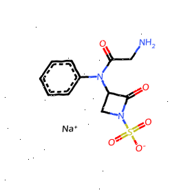 NCC(=O)N(c1ccccc1)C1CN(S(=O)(=O)[O-])C1=O.[Na+]